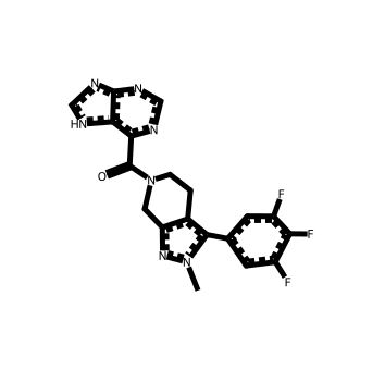 Cn1nc2c(c1-c1cc(F)c(F)c(F)c1)CCN(C(=O)c1ncnc3nc[nH]c13)C2